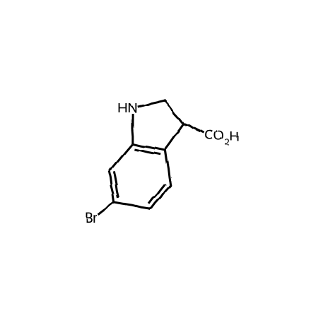 O=C(O)C1CNc2cc(Br)ccc21